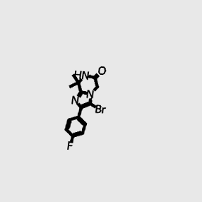 CC1(C)NC(=O)Cn2c1nc(-c1ccc(F)cc1)c2Br